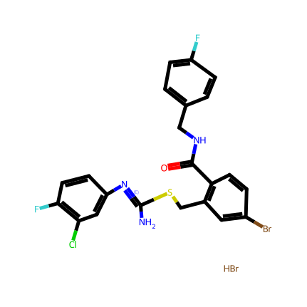 Br.N/C(=N\c1ccc(F)c(Cl)c1)SCc1cc(Br)ccc1C(=O)NCc1ccc(F)cc1